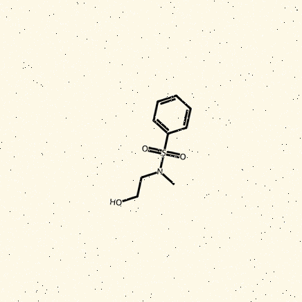 CN(CCO)S(=O)(=O)c1ccccc1